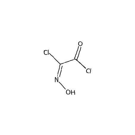 O=C(Cl)/C(Cl)=N\O